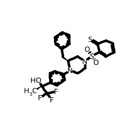 C[C@@](O)(c1ccc(N2CCN(S(=O)(=O)C3=CC=CCC3=S)C[C@@H]2Cc2ccccc2)cc1)C(F)(F)F